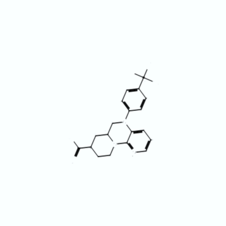 O=C(O)C1CCN2c3ncccc3N(c3ccc(C(F)(F)F)cc3)CC2C1